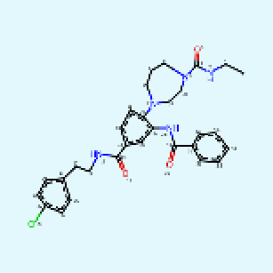 CCNC(=O)N1CCCN(c2ccc(C(=O)NCCc3ccc(Cl)cc3)cc2NC(=O)c2ccccc2)CC1